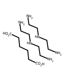 NCCNCCN.NCCNCCN.O=C(O)CCCCC(=O)O